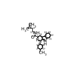 Cc1ccc(-c2nc(C(=O)NCCN(C)C)cc3c2[nH]c2ccccc23)cc1